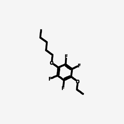 CCCCCOc1c(F)c(F)c(OCC)c(F)c1F